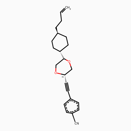 C=CCC[C@H]1CC[C@H](C2CO[C@@H](C#Cc3ccc(C#N)cc3)CO2)CC1